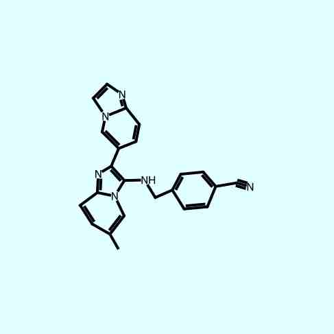 Cc1ccc2nc(-c3ccc4nccn4c3)c(NCc3ccc(C#N)cc3)n2c1